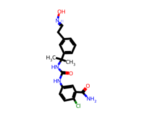 CC(C)(NC(=O)Nc1ccc(Cl)c(C(N)=O)c1)c1cccc(C/C=N/O)c1